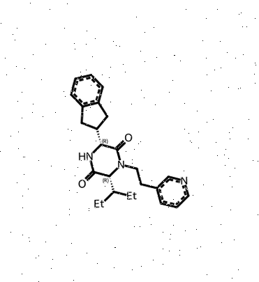 CCC(CC)[C@@H]1C(=O)N[C@H](C2Cc3ccccc3C2)C(=O)N1CCc1cccnc1